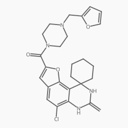 C=C1Nc2c(Cl)cc3cc(C(=O)N4CCN(Cc5ccco5)CC4)oc3c2C2(CCCCC2)N1